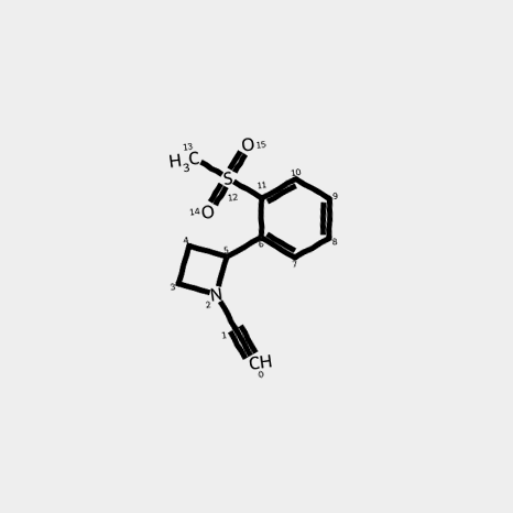 C#CN1CCC1c1ccccc1S(C)(=O)=O